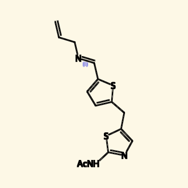 C=CC/N=C/c1ccc(Cc2cnc(NC(C)=O)s2)s1